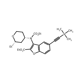 CCOC(=O)c1oc2ccc(C#C[Si](C)(C)C)cc2c1N(C(=O)OCC)[C@H]1CCO[C@@H](CC)C1